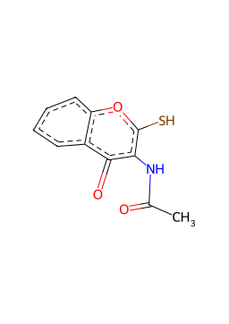 CC(=O)Nc1c(S)oc2ccccc2c1=O